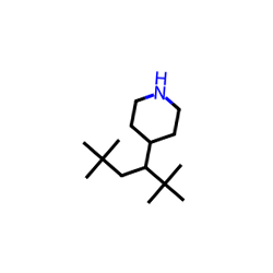 CC(C)(C)CC(C1CCNCC1)C(C)(C)C